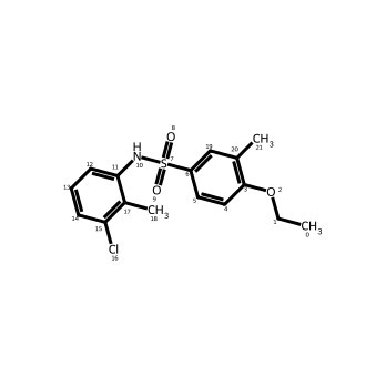 CCOc1ccc(S(=O)(=O)Nc2cccc(Cl)c2C)cc1C